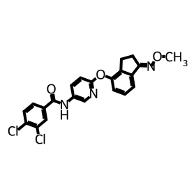 CO/N=C1\CCc2c(Oc3ccc(NC(=O)c4ccc(Cl)c(Cl)c4)cn3)cccc21